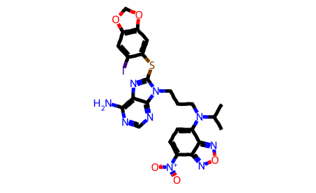 CC(C)N(CCCn1c(Sc2cc3c(cc2I)OCO3)nc2c(N)ncnc21)c1ccc([N+](=O)[O-])c2nonc12